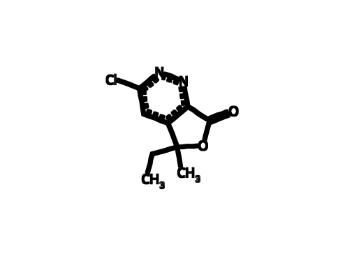 CCC1(C)OC(=O)c2nnc(Cl)cc21